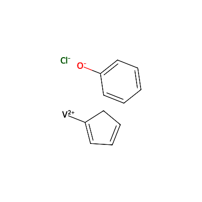 [Cl-].[O-]c1ccccc1.[V+2][C]1=CC=CC1